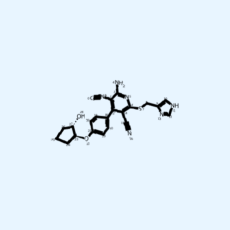 [C-]#[N+]c1c(N)nc(SCc2c[nH]cn2)c(C#N)c1-c1ccc(O[C@H]2CCC[C@@H]2O)cc1